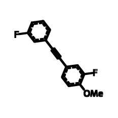 COc1ccc(C#Cc2cccc(F)c2)cc1F